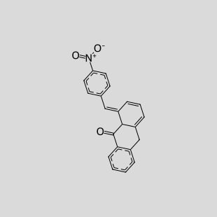 O=C1c2ccccc2CC2=CC=CC(=Cc3ccc([N+](=O)[O-])cc3)C12